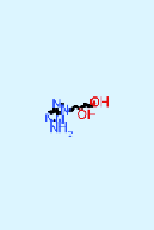 Nc1ncc2ncn(CCC(O)CCO)c2n1